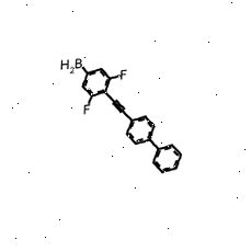 Bc1cc(F)c(C#Cc2ccc(-c3ccccc3)cc2)c(F)c1